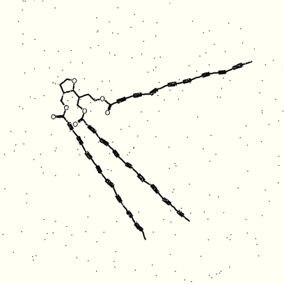 CC#CC#CC#CC#CC#CC#CC#CC#CC(=O)OCCC(COC(=O)C#CC#CC#CC#CC#CC#CC#CC#CC)C1OC[C@@H](C)[C@@H]1COC(=O)C#CC#CC#CC#CC#CC#CC#CC#CC